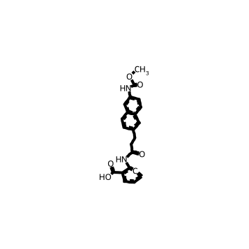 COC(=O)Nc1ccc2cc(CCC(=O)Nc3ccccc3C(=O)O)ccc2c1